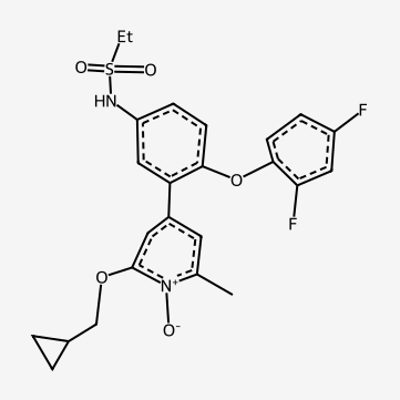 CCS(=O)(=O)Nc1ccc(Oc2ccc(F)cc2F)c(-c2cc(C)[n+]([O-])c(OCC3CC3)c2)c1